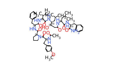 COc1ccc(C[C@H](NC(C)=O)C(=O)N2CCC[C@H]2C(=O)N[C@@H](Cc2ccccc2)C(=O)N[C@H](C(=O)N[C@@H](CC(C)C)[C@@H](O)CC(=O)N[C@@H](CC(C)C)C(=O)N[C@@H](Cc2ccccc2)C(N)=O)C(C)C)cc1